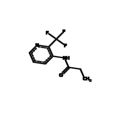 CCC(=O)Nc1cccnc1C(F)(F)F